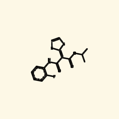 CC(C)OC(=O)C(C(=O)Nc1ccccc1F)=C1SC=CS1